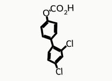 O=C(O)Oc1ccc(-c2ccc(Cl)cc2Cl)cc1